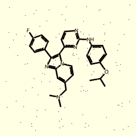 CC(C)Oc1ccc(Nc2nccc(-c3c(-c4ccc(F)cc4)nc4cc(CN(C)C)ccn34)n2)cc1